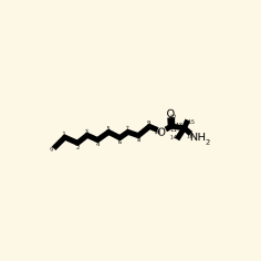 CCCCCCCCCCOC(=O)C(C)(C)N